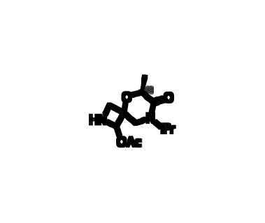 CC(=O)OC1NCC12CN(C(C)C)C(=O)[C@H](C)O2